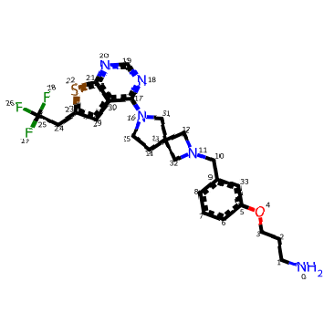 NCCCOc1cccc(CN2CC3(CCN(c4ncnc5sc(CC(F)(F)F)cc45)C3)C2)c1